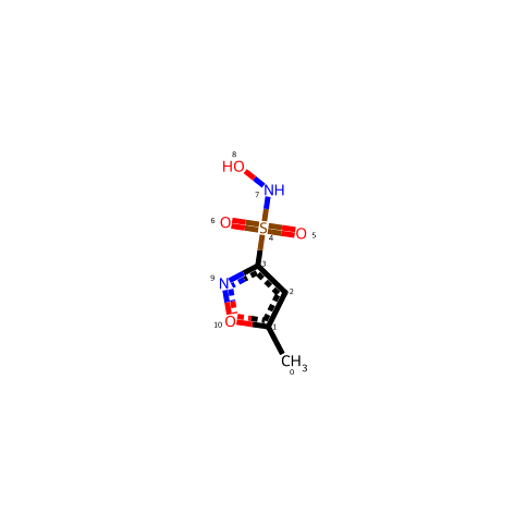 Cc1cc(S(=O)(=O)NO)no1